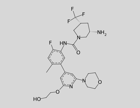 Cc1cc(F)c(NC(=O)N2C[C@@H](N)C[C@@H](C(F)(F)F)C2)cc1-c1cc(OCCO)nc(N2CCOCC2)c1